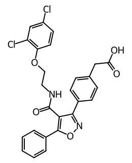 O=C(O)Cc1ccc(-c2noc(-c3ccccc3)c2C(=O)NCCOc2ccc(Cl)cc2Cl)cc1